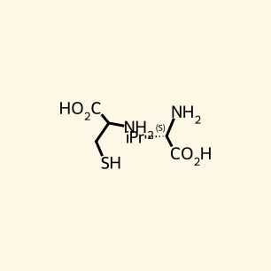 CC(C)[C@H](N)C(=O)O.NC(CS)C(=O)O